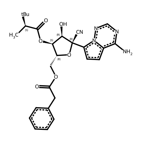 C[C@H](C(=O)O[C@H]1[C@@H](O)[C@](C#N)(c2ccc3c(N)ncnn23)O[C@@H]1COC(=O)Cc1ccccc1)C(C)(C)C